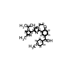 Cc1nc(-c2cn3c(n2)-c2cc(C(O)C4CCN(C)CC4)ccc2OCC3)n(C(C)C)n1